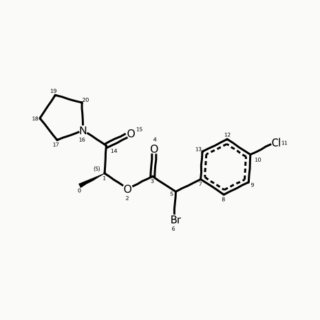 C[C@H](OC(=O)C(Br)c1ccc(Cl)cc1)C(=O)N1CCCC1